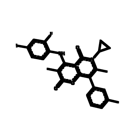 Cc1cccc(-c2c(C)n(C3CC3)c(=O)c3c(Nc4ccc(I)cc4F)c(C)c(=O)oc23)c1